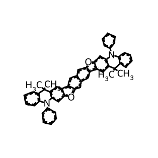 CC1(C)c2ccccc2N(c2ccccc2)c2cc3oc4cc5cc6c(cc5cc4c3cc21)oc1cc2c(cc16)C(C)(C)c1ccccc1N2c1ccccc1